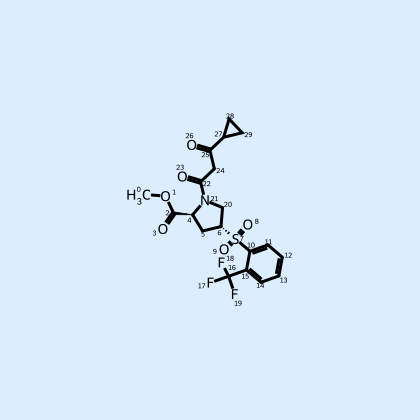 COC(=O)[C@@H]1C[C@@H](S(=O)(=O)c2ccccc2C(F)(F)F)CN1C(=O)CC(=O)C1CC1